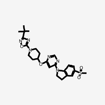 CC(C)(C)c1noc(N2CCC(Oc3cc(N4CCc5cc(S(C)(=O)=O)ccc54)ncn3)CC2)n1